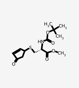 COC(=O)[C@H](CSC1C=CC(=O)C1)NC(=O)OC(C)(C)C